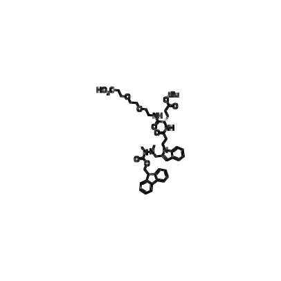 CN(Cc1cc2ccccc2n1CCC(=O)N[C@@H](CCC(=O)OC(C)(C)C)C(=O)NCCOCCOCCC(=O)O)N(C)C(=O)OCC1c2ccccc2-c2ccccc21